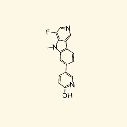 Cn1c2cc(-c3ccc(O)nc3)ccc2c2cncc(F)c21